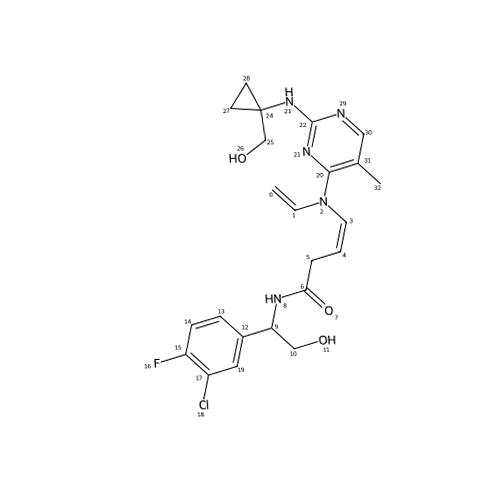 C=CN(/C=C\CC(=O)NC(CO)c1ccc(F)c(Cl)c1)c1nc(NC2(CO)CC2)ncc1C